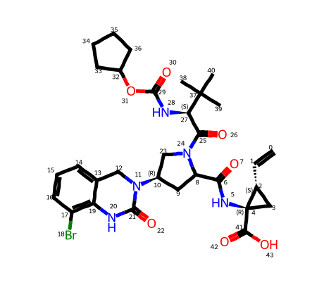 C=C[C@@H]1C[C@]1(NC(=O)C1C[C@@H](N2Cc3cccc(Br)c3NC2=O)CN1C(=O)[C@@H](NC(=O)OC1CCCC1)C(C)(C)C)C(=O)O